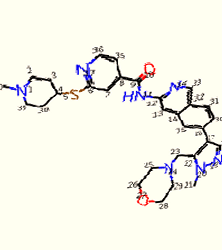 CN1CCC(Sc2cc(C(=O)Nc3cc4cc(-c5cnn(C)c5CN5CCOCC5)ccc4cn3)ccn2)CC1